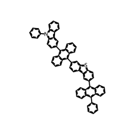 c1ccc(-c2c3ccccc3c(-c3ccc4sc5cc(-c6c7ccccc7c(-c7ccc8c(c7)c7ccccc7n8-c7ccccc7)c7ccccc67)ccc5c4c3)c3ccccc23)cc1